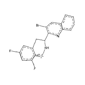 O=C(O)NC(Cc1cc(F)cc(F)c1)c1nc2ccccc2cc1Br